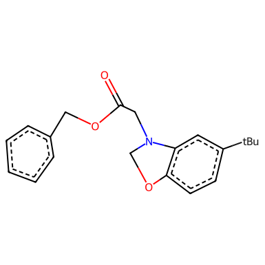 CC(C)(C)c1ccc2c(c1)N(CC(=O)OCc1ccccc1)CO2